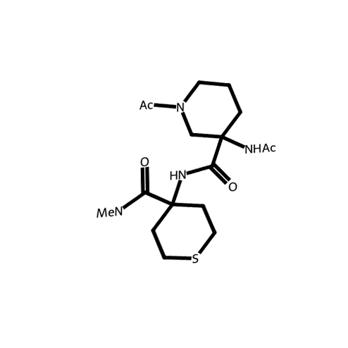 CNC(=O)C1(NC(=O)C2(NC(C)=O)CCCN(C(C)=O)C2)CCSCC1